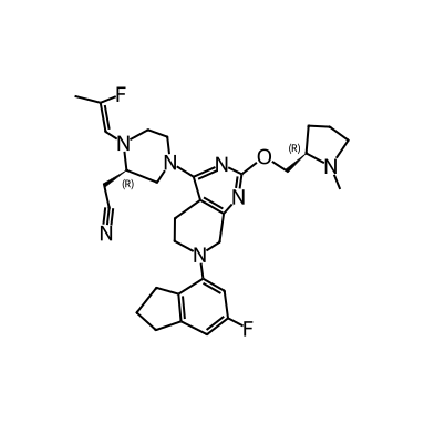 CC(F)=CN1CCN(c2nc(OC[C@H]3CCCN3C)nc3c2CCN(c2cc(F)cc4c2CCC4)C3)C[C@H]1CC#N